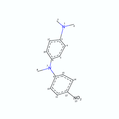 CN(C)c1ccc(N(C)c2ccc([N+](=O)[O-])cc2)cc1